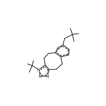 CC(C)(C)Cc1ccc2c(c1)CCc1c(nnn1C(C)(C)C)CC2